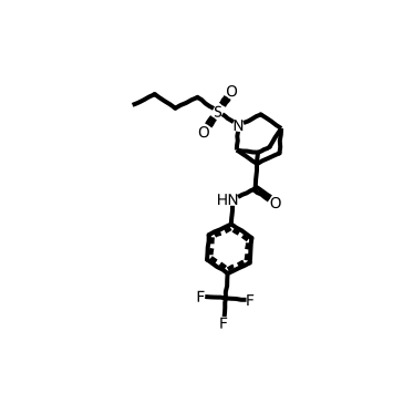 CCCCS(=O)(=O)N1CC2CCC1C(C(=O)Nc1ccc(C(F)(F)F)cc1)C2